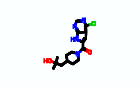 CC(C)(O)CC1CCN(C(=O)c2cc3c(Cl)ncnc3[nH]2)CC1